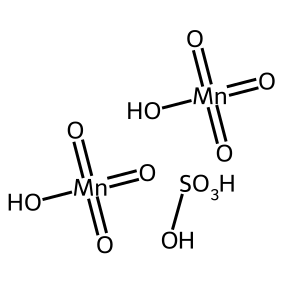 O=S(=O)(O)O.[O]=[Mn](=[O])(=[O])[OH].[O]=[Mn](=[O])(=[O])[OH]